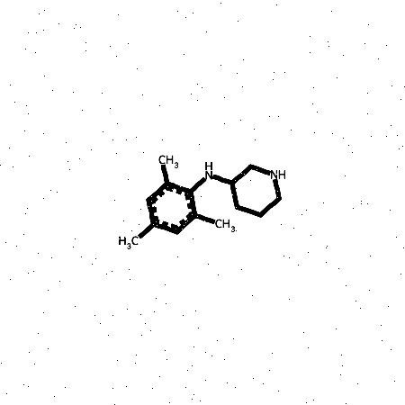 Cc1cc(C)c(NC2CCCNC2)c(C)c1